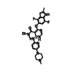 CCN(C)C(=O)C1=C(Oc2cc(F)c3[nH]c(C)cc3c2F)N=CN[C@@H]1Nc1ccc(N2CCN(C)CC2)cn1